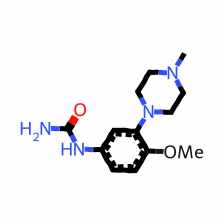 COc1ccc(NC(N)=O)cc1N1CCN(C)CC1